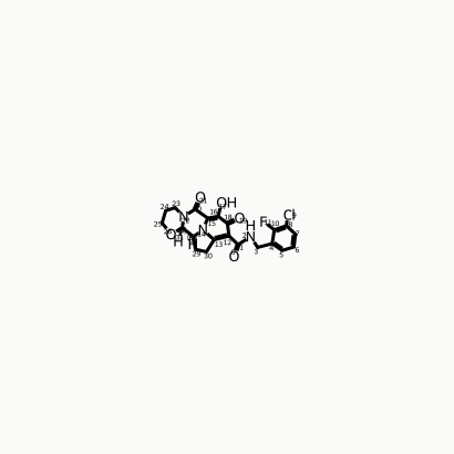 O=C(NCc1cccc(Cl)c1F)c1c2n3c(c(O)c1=O)C(=O)N1CCCO[C@H]1[C@H]3CC2